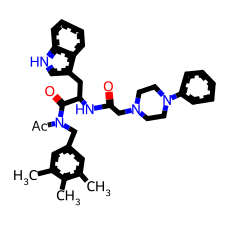 CC(=O)N(Cc1cc(C)c(C)c(C)c1)C(=O)C(Cc1c[nH]c2ccccc12)NC(=O)CN1CCN(c2ccccc2)CC1